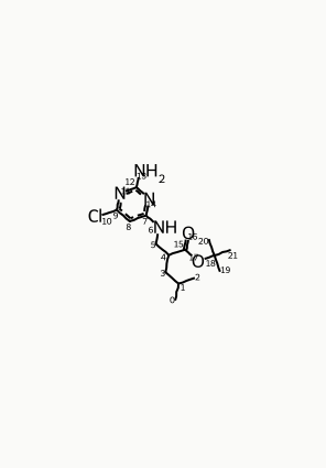 CC(C)CC(CNc1cc(Cl)nc(N)n1)C(=O)OC(C)(C)C